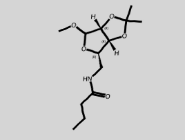 CCCC(=O)NC[C@H]1OC(OC)[C@@H]2OC(C)(C)O[C@H]12